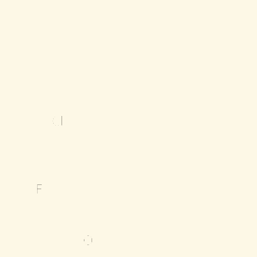 CCC(C)CC[C@@H]1CCC(OC)C(F)C1Cl